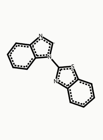 [c]1nc2ccccc2n1-c1nc2ccccc2s1